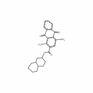 Nc1cc(C(=O)OC2CCC3CCCCC3C2)c(N)c2c1C(=O)c1ccccc1C2=O